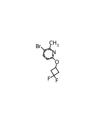 Cc1nc(OC2CC(F)(F)C2)ccc1Br